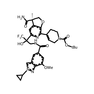 COc1cc(C(=O)NCC(O)(c2cc3c(c(C4=CCN(C(=O)OC(C)(C)C)CC4)n2)OC[C@]3(C)C(N)=O)C(F)(F)F)cc2cn(C3CC3)nc12